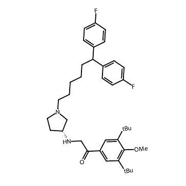 COc1c(C(C)(C)C)cc(C(=O)CN[C@@H]2CCN(CCCCCC(c3ccc(F)cc3)c3ccc(F)cc3)C2)cc1C(C)(C)C